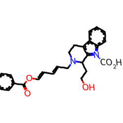 O=C(O/C=C/C=C/CN1CCc2c(n(C(=O)O)c3ccccc23)C1CCO)c1ccccc1